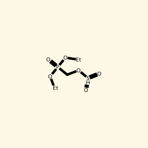 CCOP(=O)(CO[SH](=O)=O)OCC